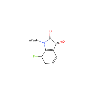 CCCCCN1C(=O)C(=O)C2=C1C(F)CC=C2